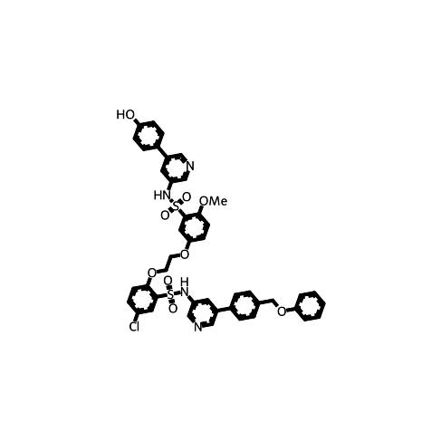 COc1ccc(OCCOc2ccc(Cl)cc2S(=O)(=O)Nc2cncc(-c3ccc(COc4ccccc4)cc3)c2)cc1S(=O)(=O)Nc1cncc(-c2ccc(O)cc2)c1